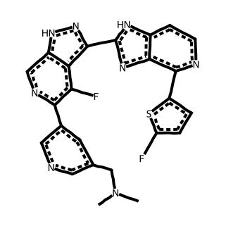 CN(C)Cc1cncc(-c2ncc3[nH]nc(-c4nc5c(-c6ccc(F)s6)nccc5[nH]4)c3c2F)c1